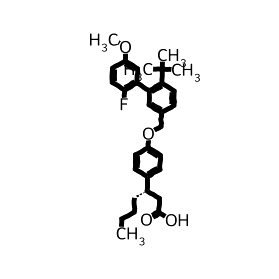 CCCC[C@@H](CC(=O)O)c1ccc(OCc2ccc(C(C)(C)C)c(-c3cc(OC)ccc3F)c2)cc1